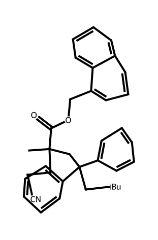 CCC(C)CC(CC(C)(CCC#N)C(=O)OCc1cccc2ccccc12)(c1ccccc1)c1ccccc1